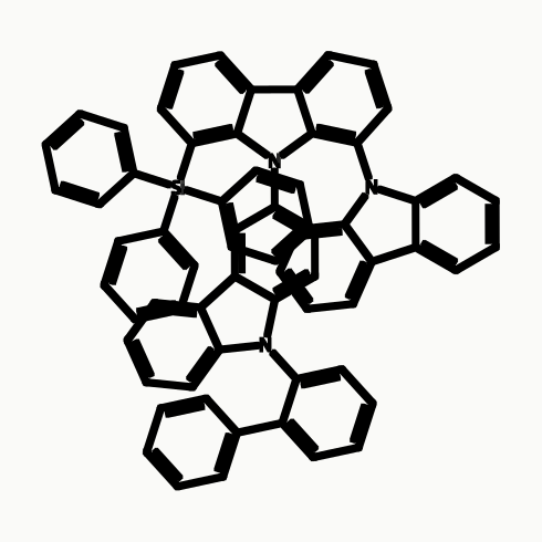 c1ccc(-c2ccccc2-n2c3ccccc3c3cc(-n4c5c(-n6c7ccccc7c7ccccc76)cccc5c5cccc([Si](c6ccccc6)(c6ccccc6)c6ccccc6)c54)ccc32)cc1